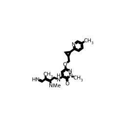 CN/C(CNc1cc(OCC2CC2c2ccc(C)cn2)nn(C)c1=O)=C(/C)C=N